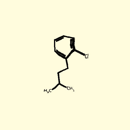 CC(C)CCc1ccccc1Cl